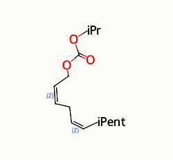 CCCC(C)/C=C\C/C=C\COC(=O)OC(C)C